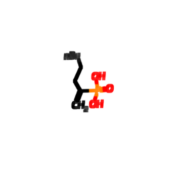 C=C(CCCCCC)P(=O)(O)O